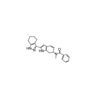 C[C@@H]1CCc2c(-c3cc4c([nH]3)CC(N(C)C(=O)c3ccccc3)C=C4)n[nH]c2C1